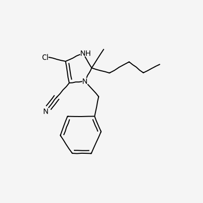 CCCCC1(C)NC(Cl)=C(C#N)N1Cc1ccccc1